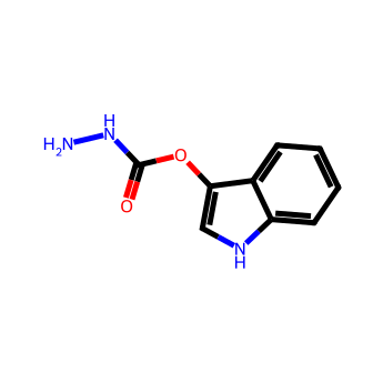 NNC(=O)Oc1c[nH]c2ccccc12